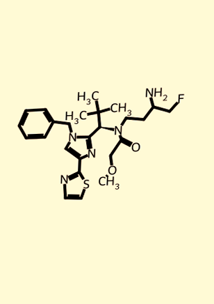 COCC(=O)N(CCC(N)CF)[C@@H](c1nc(-c2nccs2)cn1Cc1ccccc1)C(C)(C)C